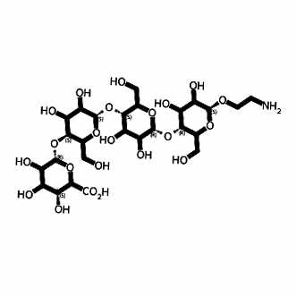 NCCO[C@H]1OC(CO)[C@H](O[C@H]2OC(CO)[C@@H](O[C@@H]3OC(CO)[C@@H](O[C@@H]4OC(C(=O)O)[C@@H](O)C(O)C4O)C(O)C3O)C(O)C2O)C(O)C1O